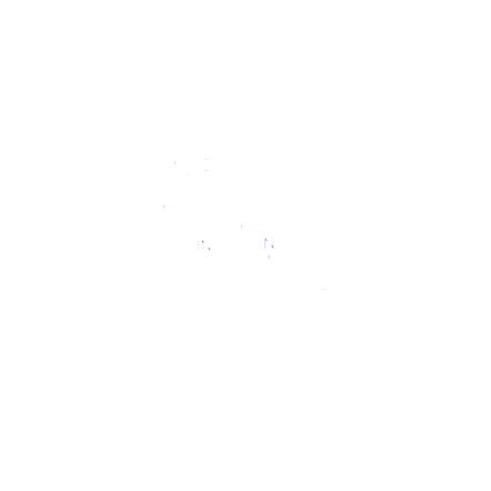 C=CCO/N=C(\CC(=O)NC1COC(C(=O)CC)C1)c1cc(C)cc(F)c1